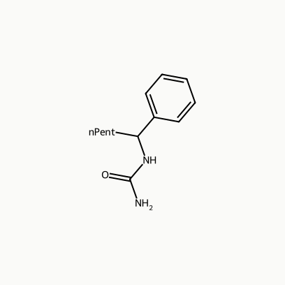 CCCCCC(NC(N)=O)c1ccccc1